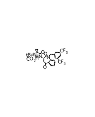 CC(C)(C)N(C(=O)O)C1(C(=O)N[C@H]2CC(=O)c3ccccc3N(Cc3cc(C(F)(F)F)cc(C(F)(F)F)c3)C2=O)CC1